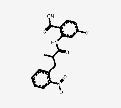 CC(Cc1ccccc1[N+](=O)[O-])C(=O)Nc1cc(Cl)ccc1C(=O)O